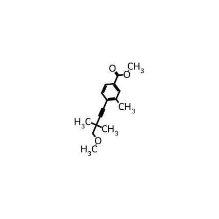 COCC(C)(C)C#Cc1ccc(C(=O)OC)cc1C